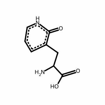 NC(Cc1ccc[nH]c1=O)C(=O)O